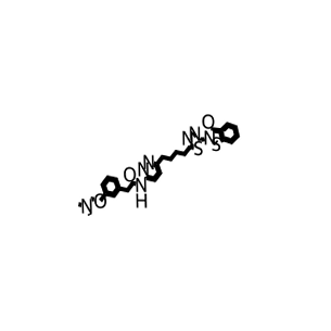 CN(C)COc1cccc(CC(=O)Nc2ccc(CCCCc3nnc(-n4sc5ccccc5c4=O)s3)nn2)c1